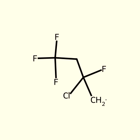 [CH2]C(F)(Cl)CC(F)(F)F